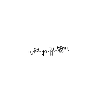 NC(O)CCCCNCOCCC(O)NCCCCC(O)N1CCCC1C(N)O